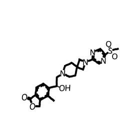 Cc1c([C@@H](O)CN2CCC3(CC2)CN(c2cnc(S(C)(=O)=O)cn2)C3)ccc2c1COC2=O